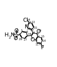 NS(=O)(=O)c1ccc(-c2oc3cc(F)ccc3c(=O)c2-c2ccc(Cl)nc2)cc1